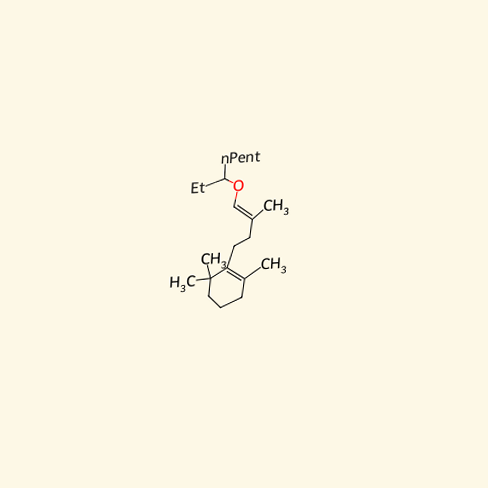 CCCCCC(CC)OC=C(C)CCC1=C(C)CCCC1(C)C